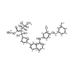 [2H]C([2H])(c1ccc(-c2ccc3ncnc(Nc4ccc(OCc5cccc(F)c5)c(Cl)c4)c3c2)o1)N(C(=O)OC(C)(C)C)C([2H])([2H])C([2H])([2H])C